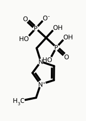 CC[n+]1ccn(CC(O)(P(=O)([O-])O)P(=O)(O)O)c1